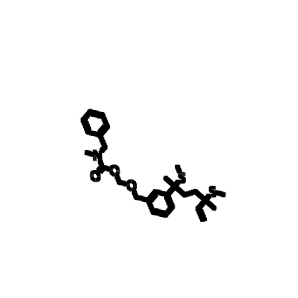 C=CC(C)(CCC(C)(SC)c1cccc(COCOC(=O)N(C)Cc2ccccc2)c1)SC